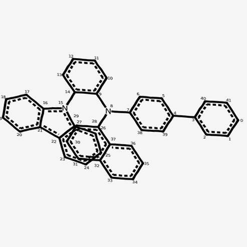 c1ccc(-c2ccc(N(c3ccccc3-n3c4ccccc4c4ccccc43)c3cccc4ccccc34)cc2)cc1